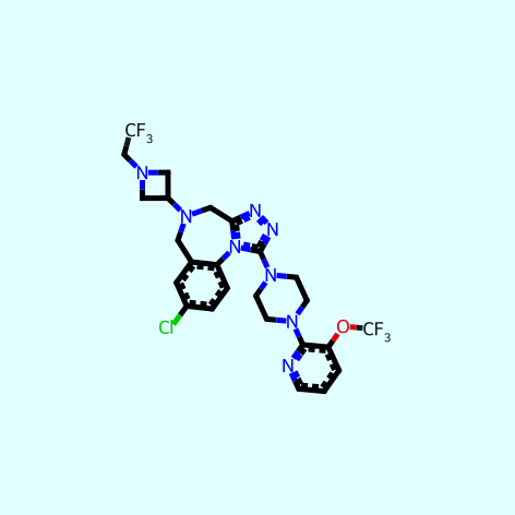 FC(F)(F)CN1CC(N2Cc3cc(Cl)ccc3-n3c(nnc3N3CCN(c4ncccc4OC(F)(F)F)CC3)C2)C1